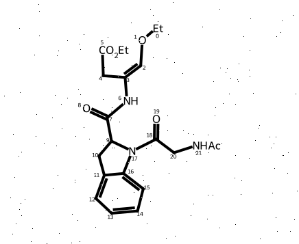 CCOC=C(CC(=O)OCC)NC(=O)C1Cc2ccccc2N1C(=O)CNC(C)=O